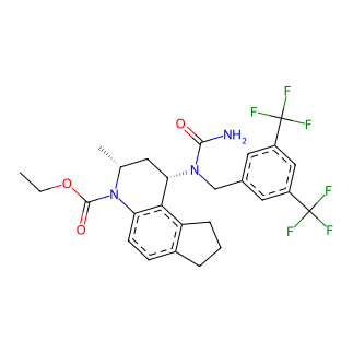 CCOC(=O)N1c2ccc3c(c2[C@@H](N(Cc2cc(C(F)(F)F)cc(C(F)(F)F)c2)C(N)=O)C[C@H]1C)CCC3